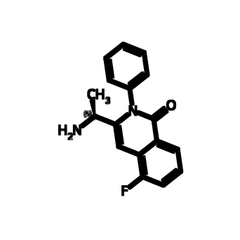 C[C@H](N)c1cc2c(F)cccc2c(=O)n1-c1ccccc1